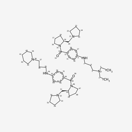 CCN(CC)CCCNc1ccc(C(=O)N2CCC[C@H]2CN2CCCC2)cc1.O=C(c1ccc(NCCCN2CCCCC2)cc1)N1CCC[C@H]1CN1CCCC1